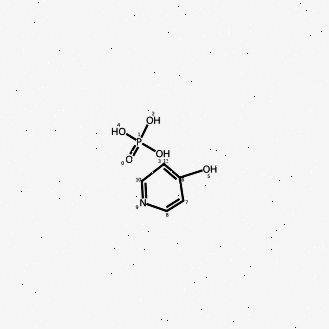 O=P(O)(O)O.Oc1ccncc1